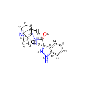 CC1(C)[C@@H](NC(=O)c2n[nH]c3ccccc23)C2CCN1CC2